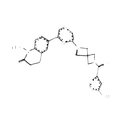 COc1cc(C(=O)N2CC3(C2)CN(c2cncc(-c4ccc5c(c4)CCC(=O)N5C)n2)C3)on1